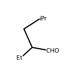 [CH2]CC(C=O)CC(C)C